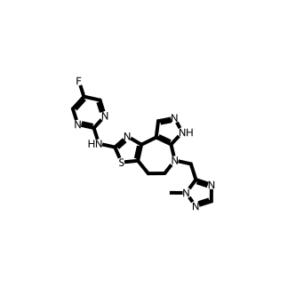 Cn1ncnc1CN1CCc2sc(Nc3ncc(F)cn3)nc2-c2cn[nH]c21